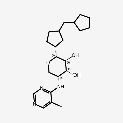 O[C@@H]1[C@H](O)[C@H](Nc2ncncc2F)CO[C@@H]1C1CCC(CC2CCCC2)C1